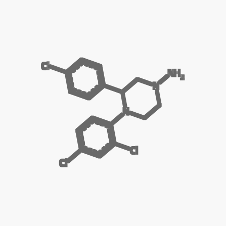 NN1CCN(c2ccc(Cl)cc2Cl)C(c2ccc(Cl)cc2)C1